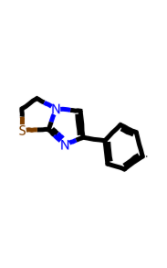 [c]1ccc(-c2cn3c(n2)SCC3)cc1